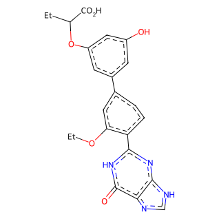 CCOc1cc(-c2cc(O)cc(OC(CC)C(=O)O)c2)ccc1-c1nc2[nH]cnc2c(=O)[nH]1